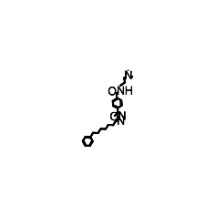 CN(C)CCCNC(=O)c1ccc(-c2nnc(CCCCCCc3ccccc3)o2)cc1